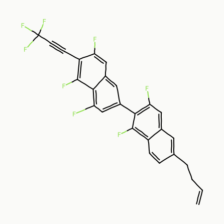 C=CCCc1ccc2c(F)c(-c3cc(F)c4c(F)c(C#CC(F)(F)F)c(F)cc4c3)c(F)cc2c1